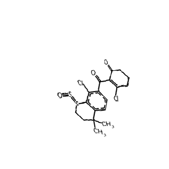 CC1(C)CCS(=S=O)c2c1ccc(C(=O)C1=C(Cl)CCCC1=O)c2Cl